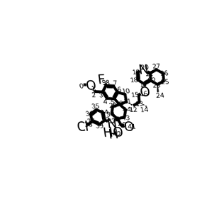 COCc1cc2c(cc1F)C[C@H](C[C@@H](C)COc1ccnc3c1[C@H](C)CCC3)C21CCC(Nc2cccc(Cl)c2)(C(=O)O)CC1